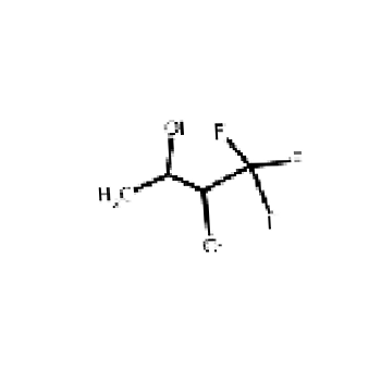 CC(O)C([O])C(F)(F)F